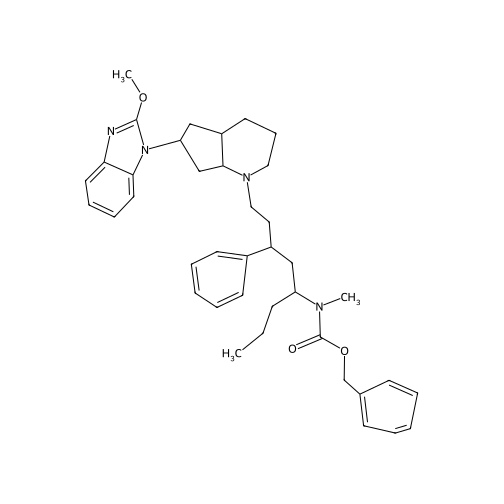 CCCC(CC(CCN1CCCC2CC(n3c(OC)nc4ccccc43)CC21)c1ccccc1)N(C)C(=O)OCc1ccccc1